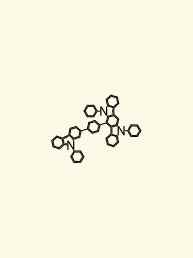 c1ccc(-n2c3ccccc3c3ccc(-c4ccc(-c5c6c7ccccc7n(-c7ccccc7)c6cc6c7ccccc7n(-c7ccccc7)c56)cc4)cc32)cc1